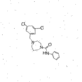 O=C(Nc1ccccc1)N1CCCN(Cc2cc(Cl)cc(Cl)c2)CC1